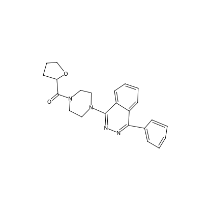 O=C(C1CCCO1)N1CCN(c2nnc(-c3ccccc3)c3ccccc23)CC1